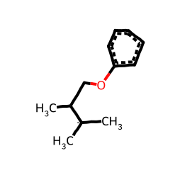 C[C](C)C(C)COc1ccccc1